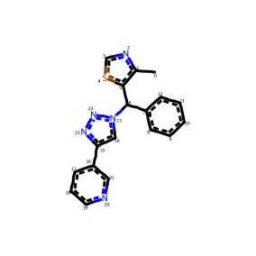 Cc1ncsc1C(c1ccccc1)n1cc(-c2cccnc2)nn1